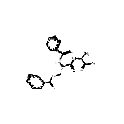 C[C@H](NC(=O)[C@H](CSC(=O)c1ccccc1)NC(=O)c1ccccc1)C(=O)O